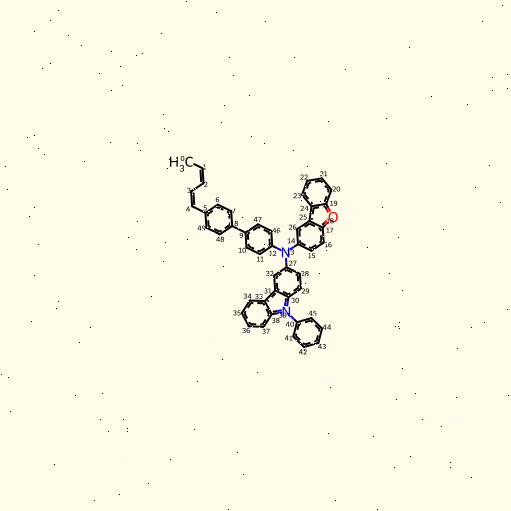 C/C=C\C=C/c1ccc(-c2ccc(N(c3ccc4oc5ccccc5c4c3)c3ccc4c(c3)c3ccccc3n4-c3ccccc3)cc2)cc1